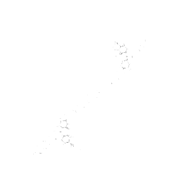 CCCCCCCCCC(c1ccc(CCCCCCCCCCCCCCCCCCCCc2ccc(C(CCCCCCCCC)c3ccc(N)cc3C)cc2)cc1)c1ccc(N)cc1C